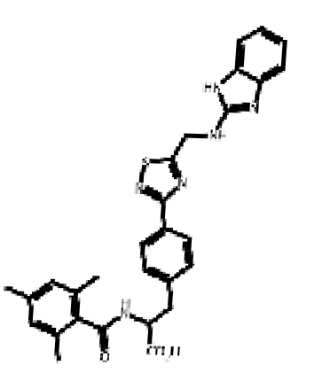 Cc1cc(C)c(C(=O)NC(Cc2ccc(-c3nsc(CNc4nc5ccccc5[nH]4)n3)cc2)C(=O)O)c(C)c1